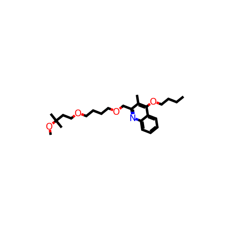 CCCCOc1c(C)c(COCCCCOCCC(C)(C)OC)nc2ccccc12